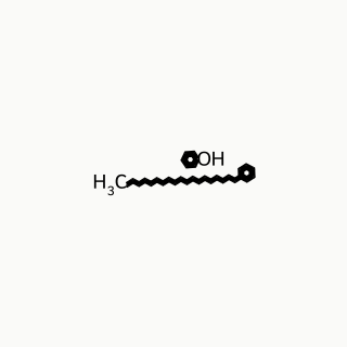 CCCCCCCCCCCCCCCCCCCCc1ccccc1.Oc1ccccc1